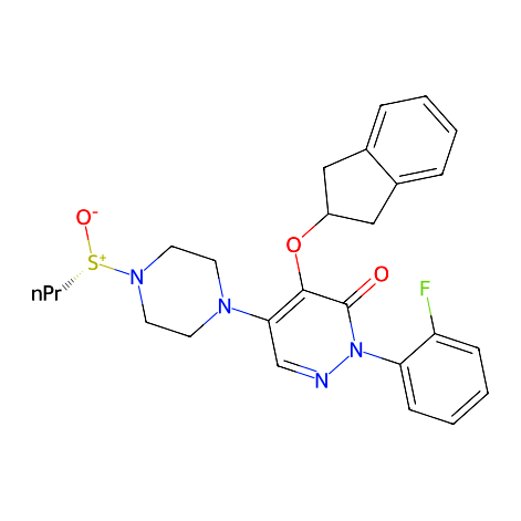 CCC[S@+]([O-])N1CCN(c2cnn(-c3ccccc3F)c(=O)c2OC2Cc3ccccc3C2)CC1